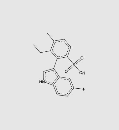 CCc1c(C)ccc(S(=O)(=O)O)c1-c1c[nH]c2ccc(F)cc12